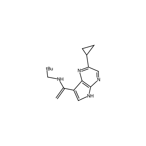 C=C(NCC(C)(C)C)c1c[nH]c2ncc(C3CC3)nc12